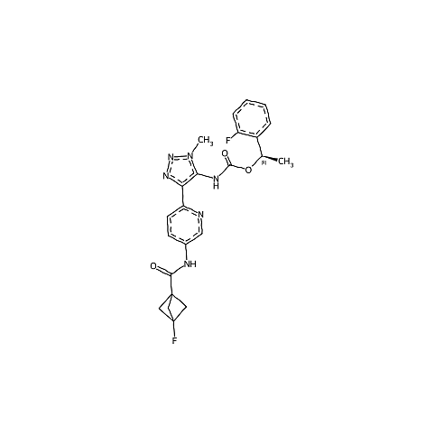 C[C@@H](OC(=O)Nc1c(-c2ccc(NC(=O)C34CC(F)(C3)C4)cn2)nnn1C)c1ccccc1F